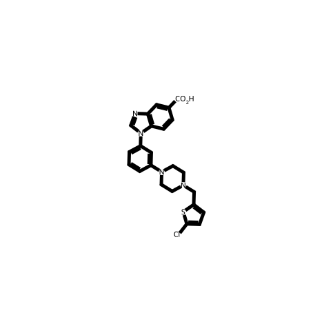 O=C(O)c1ccc2c(c1)ncn2-c1cccc(N2CCN(Cc3ccc(Cl)s3)CC2)c1